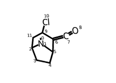 CN1C2CCC1C(=C=O)C(Cl)C2